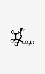 CCOC(=O)C1(Cl)CN(C(C)C)C(=O)C1=O